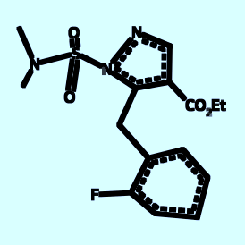 CCOC(=O)c1cnn(S(=O)(=O)N(C)C)c1Cc1ccccc1F